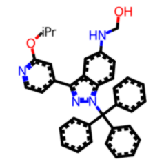 CC(C)Oc1cc(-c2nn(C(c3ccccc3)(c3ccccc3)c3ccccc3)c3ccc(NCO)cc23)ccn1